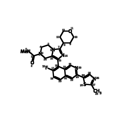 CNC(=O)N1CCn2c(C3CCOCC3)nc(-c3c(F)ccc4cc(-c5cnc(C)s5)ncc34)c2C1